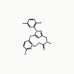 Cc1ccc(F)c(-n2nc(CN(C)C(=O)OC(C)(C)C)cc2Sc2ccc(Cl)nc2)c1